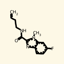 C=CCCNC(=O)c1nc2ccc(F)cc2n1C